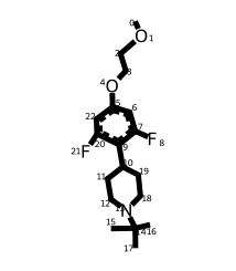 COCCOc1cc(F)c(C2CCN(C(C)(C)C)CC2)c(F)c1